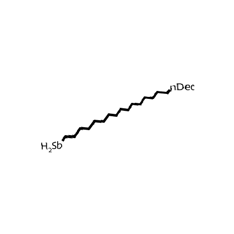 CCCCCCCCCCCCCCCCCCCCCCCCC[CH2][SbH2]